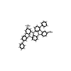 CC(C)(C)c1ccc2c(c1)-c1c(-c3ccccc3)ccc3c1B2c1cccc2c1N3c1cc(C(C)(C)C)cc3c1B2c1cc(-c2ccccc2)ccc1-3